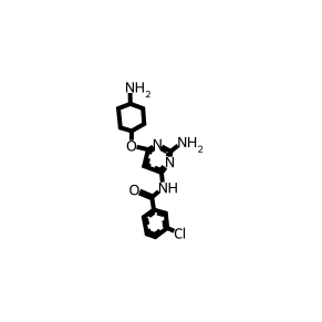 Nc1nc(NC(=O)c2cccc(Cl)c2)cc(OC2CCC(N)CC2)n1